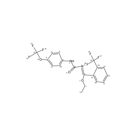 CCOC(=NC(=O)Nc1ccc(OC(F)(F)F)cc1)c1ccccc1C(F)(F)F